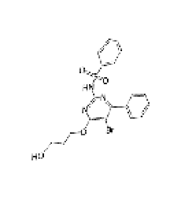 O=S(=O)(Nc1nc(OCCCO)c(Br)c(-c2ccccc2)n1)c1ccccc1